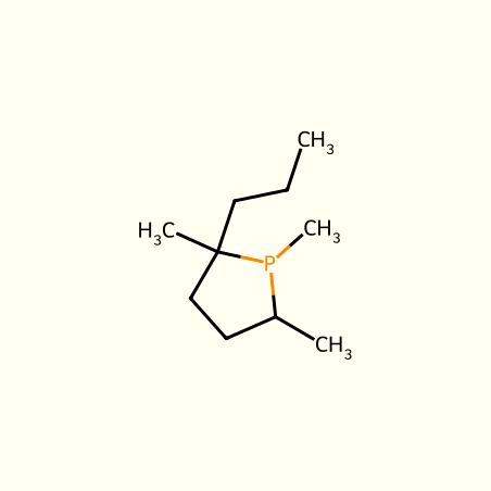 CCCC1(C)CCC(C)P1C